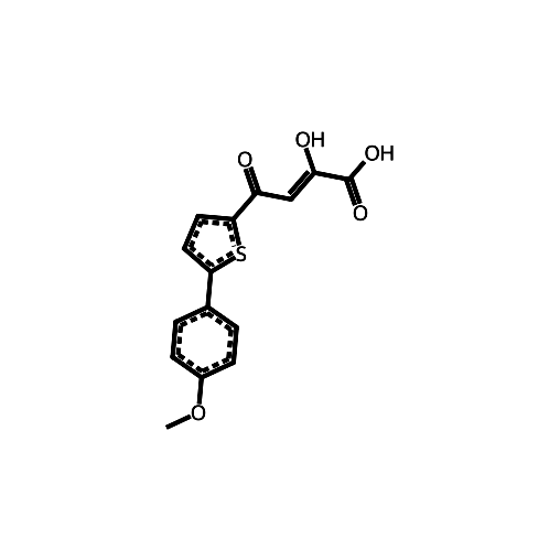 COc1ccc(-c2ccc(C(=O)C=C(O)C(=O)O)s2)cc1